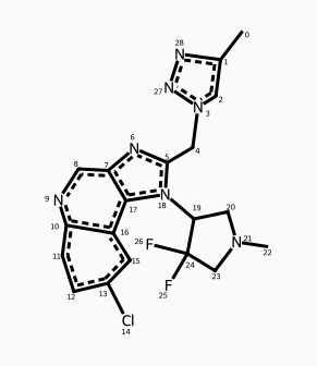 Cc1cn(Cc2nc3cnc4ccc(Cl)cc4c3n2C2CN(C)CC2(F)F)nn1